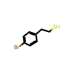 SCCc1ccc(Br)cc1